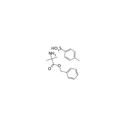 CC(C)(N)C(=O)OCc1ccccc1.Cc1ccc(S(=O)(=O)O)cc1